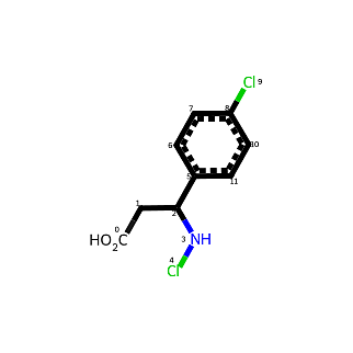 O=C(O)CC(NCl)c1ccc(Cl)cc1